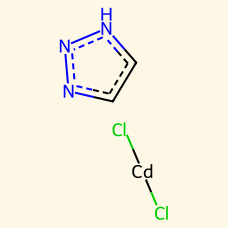 [Cl][Cd][Cl].c1c[nH]nn1